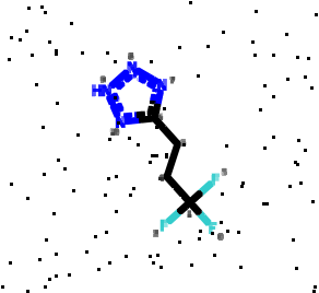 FC(F)(F)CCc1nn[nH]n1